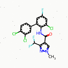 Cn1cc(C(=O)Nc2c(Cl)cc(F)cc2-c2ccc(Cl)c(Cl)c2)c(C(F)F)n1